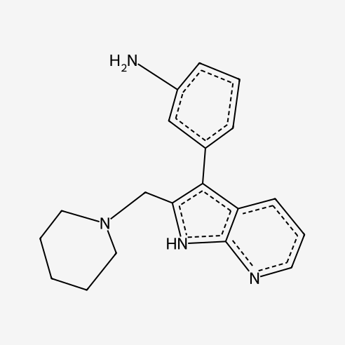 Nc1cccc(-c2c(CN3CCCCC3)[nH]c3ncccc23)c1